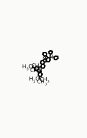 CC(C)(C)c1ccc2c(c1)c1cc(C(C)(C)C)cc3c4c5ccc6c(c5ccc4n2c13)c1ccc(N(c2ccccc2)c2ccccc2)c2c3ccccc3n6c12